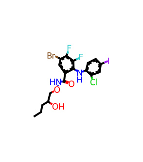 CCCC(O)CONC(=O)c1cc(Br)c(F)c(F)c1Nc1ccc(I)cc1Cl